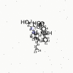 C=C1CC[C@H](O)C/C1=C/C=C1\CCC[C@]2(C)[C@@H]([C@H](C)CCCC(C)C)CC[C@@H]12.O=S(=O)(O)c1ccc2[nH]c(-c3ccccc3)nc2c1